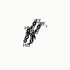 O=C(COc1ccc(OC(F)(F)F)cc1)Nc1ccc2nc(N3CCC(N4CCCC4)CC3)ncc2c1.O=C(COc1ccc(OC(F)(F)F)cc1)Nc1ccc2nc(N3CCN(CCO)CC3)ncc2c1